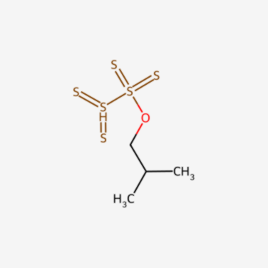 CC(C)COS(=S)(=S)[SH](=S)=S